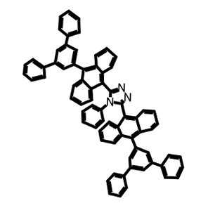 c1ccc(-c2cc(-c3ccccc3)cc(-c3c4ccccc4c(-c4nnc(-c5c6ccccc6c(-c6cc(-c7ccccc7)cc(-c7ccccc7)c6)c6ccccc56)n4-c4ccccc4)c4ccccc34)c2)cc1